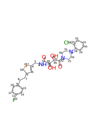 O=C(NCC1=CC(CCc2ccc(F)cc2)CS1)[C@H](O)[C@@H](O)C(=O)N1CCN(c2ccccc2Cl)CC1